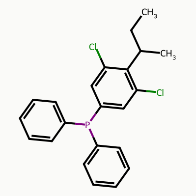 CCC(C)c1c(Cl)cc(P(c2ccccc2)c2ccccc2)cc1Cl